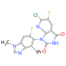 CC(C)c1c(-n2c(=O)[nH]c(=O)c3cc(F)c(Cl)nc32)c(F)cc2c1ncn2C